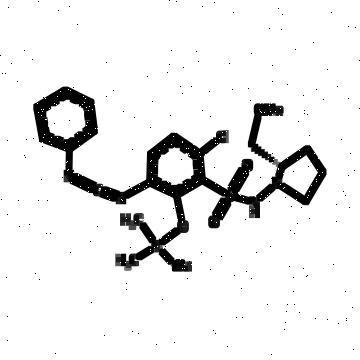 COC[C@@H]1CCCN1NS(=O)(=O)c1c(Cl)ccc(N=C=Nc2ccccc2)c1O[Si](C)(C)C(C)(C)C